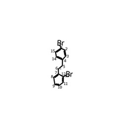 Brc1ccc(C[CH]c2ccccc2Br)cc1